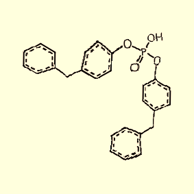 O=P(O)(Oc1ccc(Cc2ccccc2)cc1)Oc1ccc(Cc2ccccc2)cc1